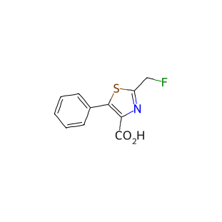 O=C(O)c1nc(CF)sc1-c1ccccc1